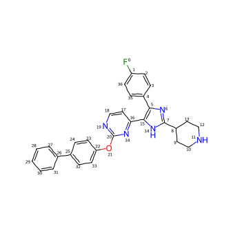 Fc1ccc(-c2nc(C3CCNCC3)[nH]c2-c2ccnc(Oc3ccc(-c4ccccc4)cc3)n2)cc1